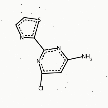 Nc1cc(Cl)nc(-c2nccs2)n1